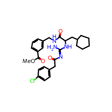 COC(=O)c1cccc(CNC(=O)C(CC2CCCCC2)NC(N)=NC(=O)Cc2ccc(Cl)cc2)c1